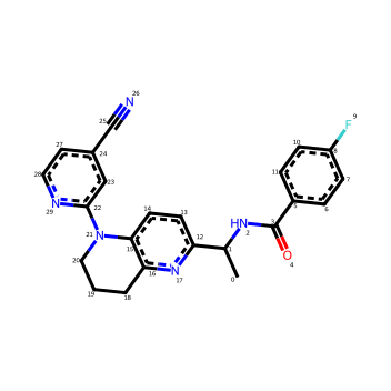 CC(NC(=O)c1ccc(F)cc1)c1ccc2c(n1)CCCN2c1cc(C#N)ccn1